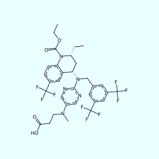 CCOC(=O)N1c2ccc(C(F)(F)F)cc2[C@@H](N(Cc2cc(C(F)(F)F)cc(C(F)(F)F)c2)c2ncc(N(C)CCC(=O)O)cn2)C[C@H]1CC